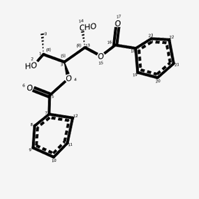 C[C@@H](O)[C@H](OC(=O)c1ccccc1)[C@H](C=O)OC(=O)c1ccccc1